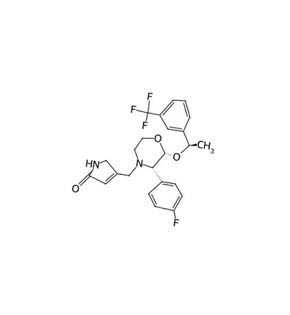 C[C@@H](O[C@H]1OCCN(CC2=CC(=O)NC2)[C@H]1c1ccc(F)cc1)c1cccc(C(F)(F)F)c1